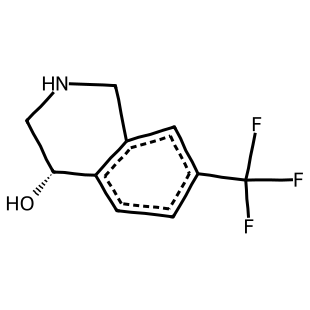 O[C@@H]1CNCc2cc(C(F)(F)F)ccc21